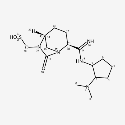 CN(C)C1CCCC1NC(=N)[C@@H]1CC[C@@H]2CN1C(=O)N2OS(=O)(=O)O